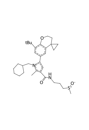 Cc1c(C(=O)NCCC[S+](C)[O-])cc(-c2cc(C(C)(C)C)c3c(c2)C2(CCO3)CC2)n1CC1CCCCC1